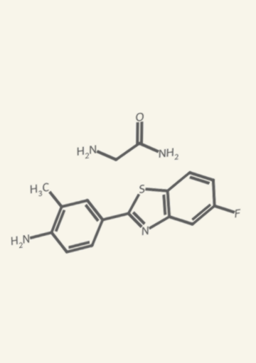 Cc1cc(-c2nc3cc(F)ccc3s2)ccc1N.NCC(N)=O